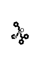 O=C(/C=C/c1ccccc1)N(CC=C(c1ccccc1)c1ccccc1)CCN1CCCC1